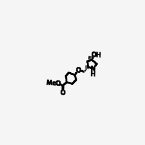 COC(=O)C1CCC(OC[C@@H]2C[C@@H](O)CN2)CC1